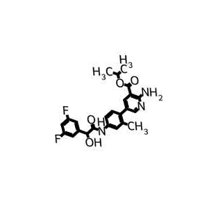 Cc1cc(NC(=O)C(O)c2cc(F)cc(F)c2)ccc1-c1cnc(N)c(C(=O)OC(C)C)c1